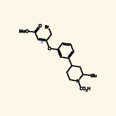 COC(=O)/C=C(\CBr)Oc1cccc(C2CCN(C(=O)O)C(C(C)(C)C)C2)c1